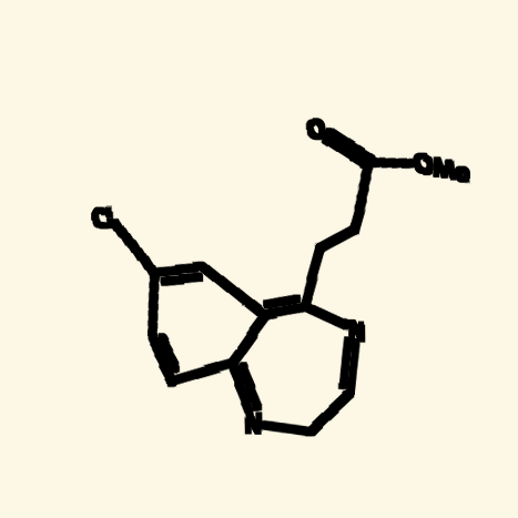 COC(=O)CCC1=c2cc(Cl)ccc2=NCC=N1